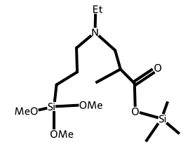 CCN(CCC[Si](OC)(OC)OC)CC(C)C(=O)O[Si](C)(C)C